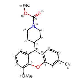 COc1cccc2c1Oc1cc(C#N)ccc1C2C1CCN(C(=O)OC(C)(C)C)CC1